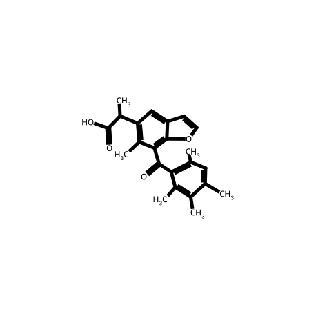 Cc1cc(C)c(C(=O)c2c(C)c(C(C)C(=O)O)cc3ccoc23)c(C)c1C